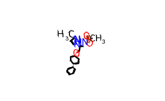 Cc1ccn(C(CNS(C)(=O)=O)CO[C@H]2CC[C@@H](c3ccccc3)CC2)n1